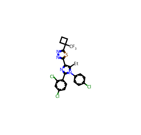 CCc1c(-c2nnc(C3(C(F)(F)F)CCC3)s2)nc(-c2ccc(Cl)cc2Cl)n1-c1ccc(Cl)cc1